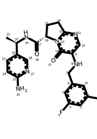 Cc1cc(F)cc(CNc2cnc3n(c2=O)[C@H](C(=O)N[C@H](C)c2ccc(N)nc2)CC3)c1